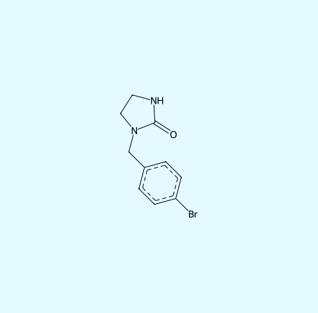 O=C1NCCN1Cc1ccc(Br)cc1